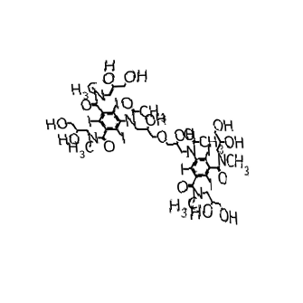 CC(=O)N(CC(O)COCC(O)CN(C(C)=O)c1c(I)c(C(=O)N(C)CC(O)CO)c(I)c(C(=O)N(C)CC(O)CO)c1I)c1c(I)c(C(=O)N(C)CC(O)CO)c(I)c(C(=O)N(C)CC(O)CO)c1I